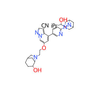 CC(C)C(O)CN1C2CC1CN(c1ccc(-c3cc(OCCN4CC5CCC(O)C4C5)cn4ncc(C#N)c34)cn1)C2